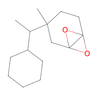 CC(C1CCCCC1)C1(C)CCC23OC2(C1)O3